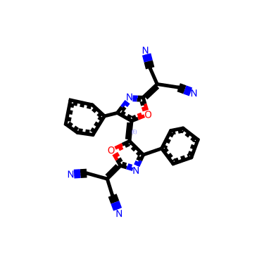 N#CC(C#N)=c1nc(-c2ccccc2)/c(=c2\oc(=C(C#N)C#N)nc2-c2ccccc2)o1